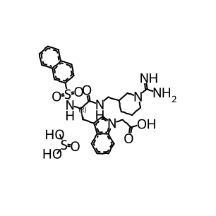 N=C(N)N1CCCC(CNC(=O)[C@@H](Cc2cn(CC(=O)O)c3ccccc23)NS(=O)(=O)c2ccc3ccccc3c2)C1.O=S(O)O